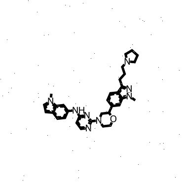 Cn1ccc2ccc(Nc3ccnc(N4CCOC(c5ccc6c(CCCN7CCCC7)nn(C)c6c5)C4)n3)cc21